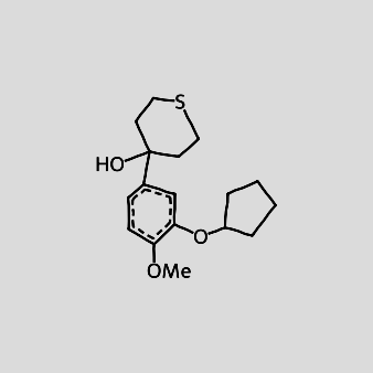 COc1ccc(C2(O)CCSCC2)cc1OC1CCCC1